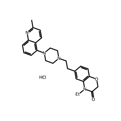 CCN1C(=O)COc2ccc(CCN3CCN(c4cccc5nc(C)ccc45)CC3)cc21.Cl